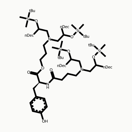 CCCCCCCCCCC(CN(CCCOC(=O)[C@H](Cc1ccc(O)cc1)NC(=O)CCCN(CC(CCCCCCCCCC)O[Si](C)(C)C(C)(C)C)CC(CCCCCCCCCC)O[Si](C)(C)C(C)(C)C)CC(CCCCCCCCCC)O[Si](C)(C)C(C)(C)C)O[Si](C)(C)C(C)(C)C